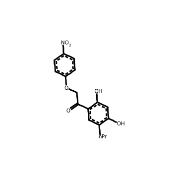 CCCc1cc(C(=O)COc2ccc([N+](=O)[O-])cc2)c(O)cc1O